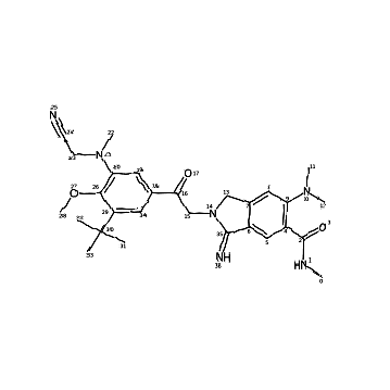 CNC(=O)c1cc2c(cc1N(C)C)CN(CC(=O)c1cc(N(C)CC#N)c(OC)c(C(C)(C)C)c1)C2=N